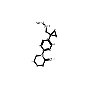 CSNCC1(c2ccc(N3CCCCC3=O)cc2)CC1